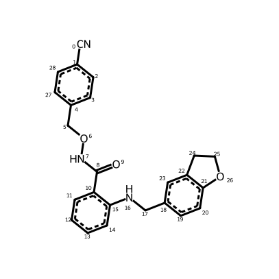 N#Cc1ccc(CONC(=O)c2ccccc2NCc2ccc3c(c2)CCO3)cc1